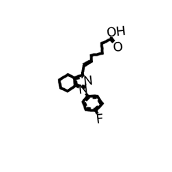 O=C(O)CCCC=Cc1nn(-c2ccc(F)cc2)c2c1CCCC2